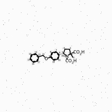 C[C@@]1(C(=O)O)CC[C@@H](c2ccc(OCc3ccccc3)cc2)N1C(=O)O